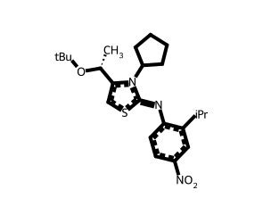 CC(C)c1cc([N+](=O)[O-])ccc1N=c1scc([C@@H](C)OC(C)(C)C)n1C1CCCC1